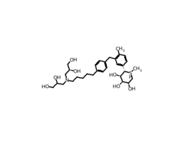 Cc1ccc([C@H]2[C@H](O)[C@H](O)[C@H](O)C[SH]2C)cc1Cc1ccc(CCCCCN(CC(O)CO)C[C@H](O)CO)cc1